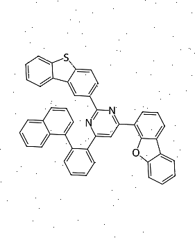 c1ccc(-c2cccc3ccccc23)c(-c2cc(-c3cccc4c3oc3ccccc34)nc(-c3ccc4sc5ccccc5c4c3)n2)c1